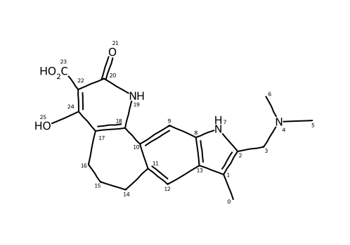 Cc1c(CN(C)C)[nH]c2cc3c(cc12)CCCc1c-3[nH]c(=O)c(C(=O)O)c1O